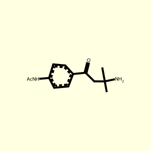 CC(=O)Nc1ccc(C(=O)CC(C)(C)N)cc1